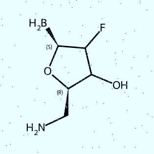 B[C@@H]1O[C@H](CN)C(O)C1F